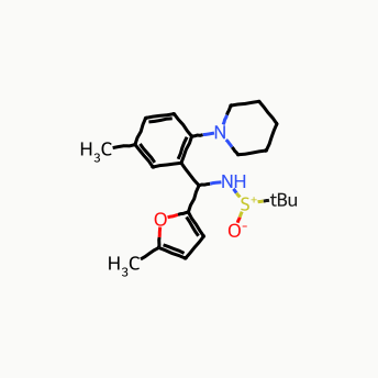 Cc1ccc(N2CCCCC2)c(C(N[S+]([O-])C(C)(C)C)c2ccc(C)o2)c1